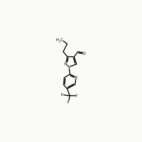 CCCc1nn(-c2ccc(C(F)(F)F)cn2)cc1C=O